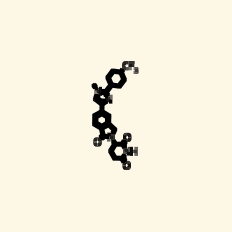 Cn1cc(-c2ccc3c(c2)CN(C2CCC(=O)NC2=O)C3=O)nc1C1CCC(C(F)(F)F)CC1